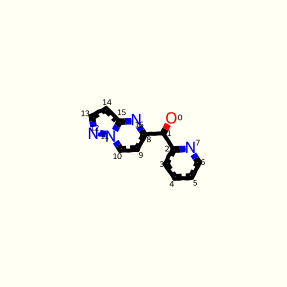 O=C(c1ccccn1)c1ccn2nccc2n1